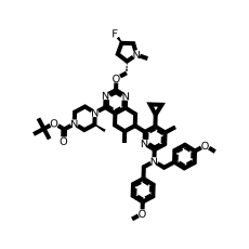 COc1ccc(CN(Cc2ccc(OC)cc2)c2cc(C)c(C3CC3)c(C3Cc4nc(OC[C@@H]5C[C@@H](F)CN5C)nc(N5CCN(C(=O)OC(C)(C)C)C[C@@H]5C)c4CC3C)n2)cc1